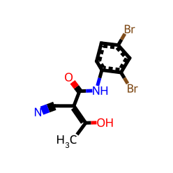 CC(O)=C(C#N)C(=O)Nc1ccc(Br)cc1Br